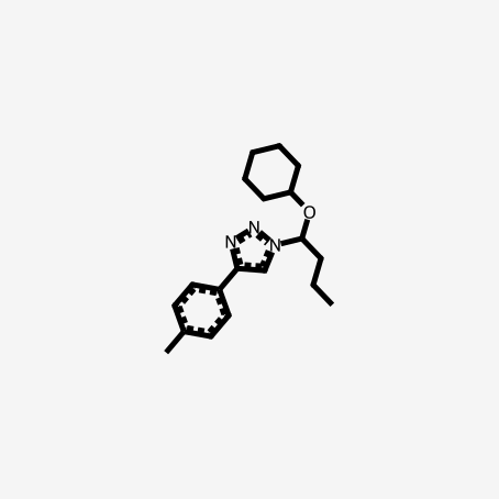 CCCC(OC1CCCCC1)n1cc(-c2ccc(C)cc2)nn1